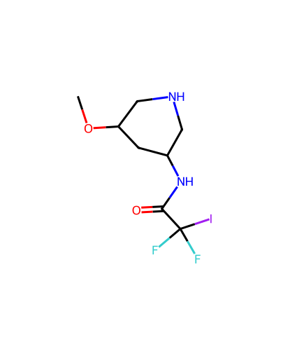 COC1CNCC(NC(=O)C(F)(F)I)C1